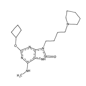 CNc1nc(OC2CCC2)nc2c1[nH]c(=O)n2CCCCN1CCCCC1